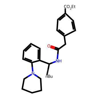 CCCCC(NC(=O)Cc1ccc(C(=O)OCC)cc1)c1ccccc1N1CCCCC1